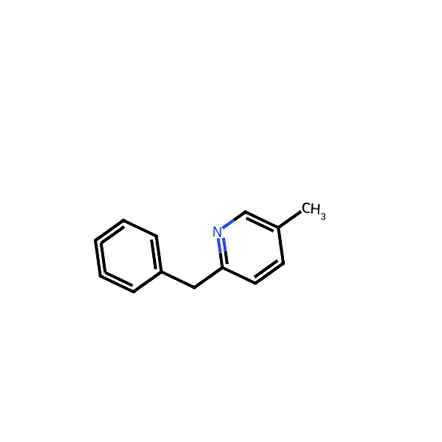 Cc1ccc(CC2=CC=C=C=C2)nc1